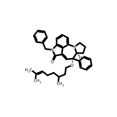 CC(C)=CCCC(C)CCO[C@]1(c2ccccc2)C=C2C(=O)N(Cc3ccccc3)c3cccc(c32)N2CCC[C@H]21